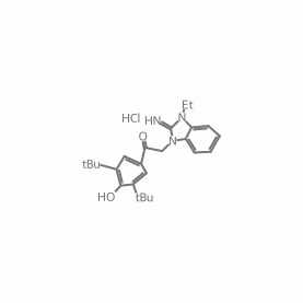 CCn1c(=N)n(CC(=O)c2cc(C(C)(C)C)c(O)c(C(C)(C)C)c2)c2ccccc21.Cl